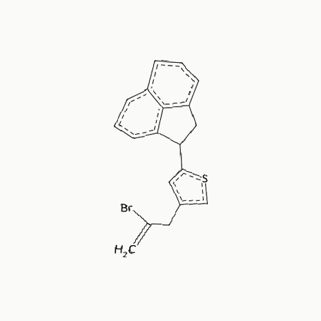 C=C(Br)Cc1csc(C2Cc3cccc4cccc2c34)c1